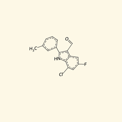 Cc1cccc(-c2[nH]c3c(Cl)cc(F)cc3c2C=O)c1